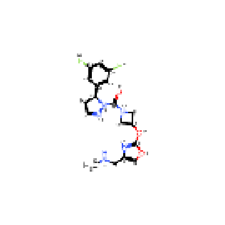 CNCc1coc(OC2CN(C(=O)N3N=CCC3c3cc(F)cc(F)c3)C2)n1